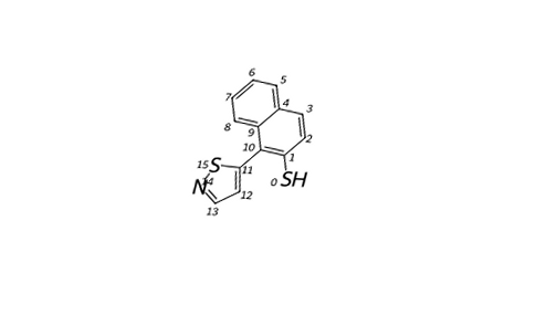 Sc1ccc2ccccc2c1-c1ccns1